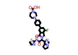 O=C(Nc1nccs1)C(c1ncn2c1CCC2)N1Cc2c(F)cc(-c3ccc(N4CCCN(C(=O)O)CC4)cc3)cc2C1=O